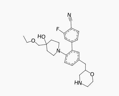 CCOCC1(O)CCN(c2ccc(CC3CNCCO3)cc2-c2ccc(C#N)c(F)c2)CC1